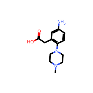 CN1CCN(c2ccc(N)cc2CC(=O)O)CC1